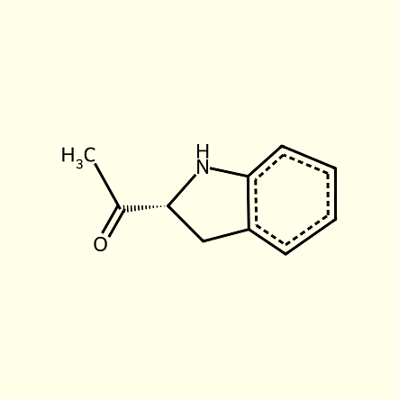 CC(=O)[C@H]1Cc2ccccc2N1